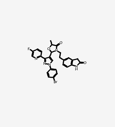 CC1OC(c2cn(-c3ccc(Br)cc3)nc2-c2ccc(F)cn2)N(CCc2ccc3c(c2)CC(=O)N3)C1=O